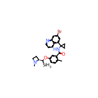 Cc1ccc(OC([SiH3])[C@@H]2CCN2C)cc1C(=O)NC1(c2cc(Br)cc3ncccc23)CC1